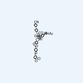 CC(=O)Nc1ccc(S(=O)(=O)N2Cc3cc4c(cc3CC2C(=O)NC(Cc2ccc(-c3ccc(C#N)cc3)cc2)C(=O)O)OCC(c2ccc(OCc3ccc(Cl)c(Cl)c3)cc2)O4)cc1